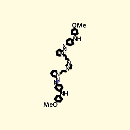 COc1ccc(Nc2ccc(/N=N/c3cccc[n+]3CCCn3cc[n+](CCC[n+]4ccccc4/N=N/c4ccc(Nc5ccc(OC)cc5)cc4)c3)cc2)cc1